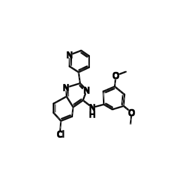 COc1cc(Nc2nc(-c3cccnc3)nc3ccc(Cl)cc23)cc(OC)c1